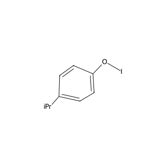 CC(C)c1ccc(OI)cc1